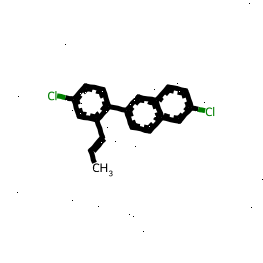 CC=Cc1cc(Cl)ccc1-c1ccc2cc(Cl)ccc2c1